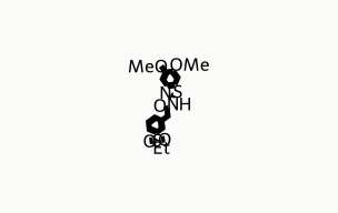 CCS(=O)(=O)c1cccc(CC(=O)Nc2nc3cc(OC)c(OC)cc3s2)c1